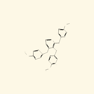 COc1ccc(Cc2bccc(Cc3ccc(OC)cc3)c2Cc2ccc(OC)cc2)cc1